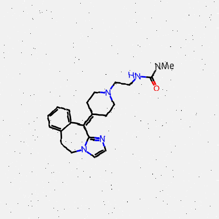 CNC(=O)NCCN1CCC(=C2c3ccccc3CCn3ccnc32)CC1